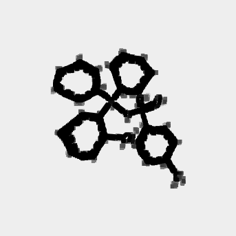 Cc1ccccc1S(OS(=O)(=O)c1ccc(C(F)(F)F)cc1)(c1ccccc1)c1ccccc1